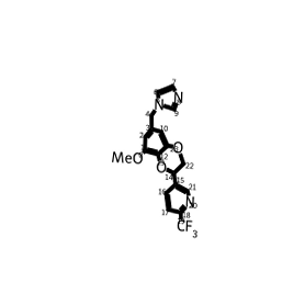 COc1cc(Cn2ccnc2)cc2c1OC(c1ccc(C(F)(F)F)nc1)CO2